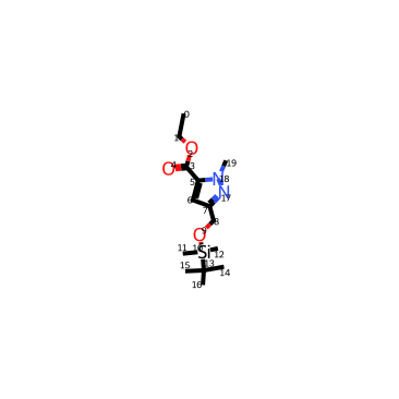 CCOC(=O)c1cc(CO[Si](C)(C)C(C)(C)C)nn1C